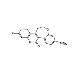 N#Cc1ccc2c(c1)OCCc1c-2c(=O)oc2cc(F)ccc12